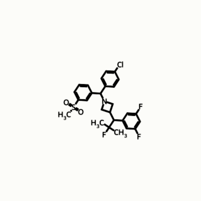 CC(C)(F)C(c1cc(F)cc(F)c1)C1CN(C(c2ccc(Cl)cc2)c2cccc(S(C)(=O)=O)c2)C1